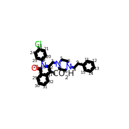 O=C(O)c1c(CN2CCN(CCc3ccccc3)CC2)n(-c2ccc(Cl)cc2)c(=O)c2ccccc12